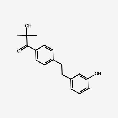 CC(C)(O)C(=O)c1ccc(CCc2cc[c]c(O)c2)cc1